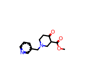 COC(=O)C1CN(Cc2cccnc2)CCC1=O